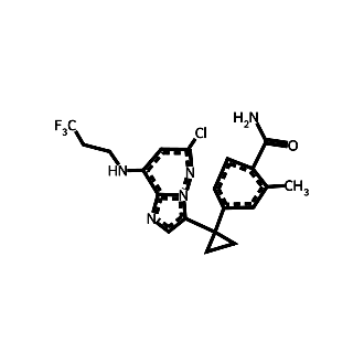 Cc1cc(C2(c3cnc4c(NCCC(F)(F)F)cc(Cl)nn34)CC2)ccc1C(N)=O